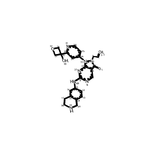 C=CCn1c(=O)c2cnc(Nc3ccc4c(c3)CCNC4)nc2n1-c1ccnc(C2(O)COC2)c1